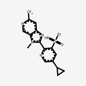 CCS(=N)(=O)c1cc(C2CC2)cnc1-c1nc2cc(C(F)(F)F)ncc2n1C